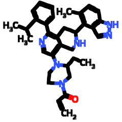 C=CC(=O)N1CCN(c2cnc(-c3ccccc3C(C)C)c3c2CNC(c2c(C)ccc4[nH]ncc24)C3)C(CC)C1